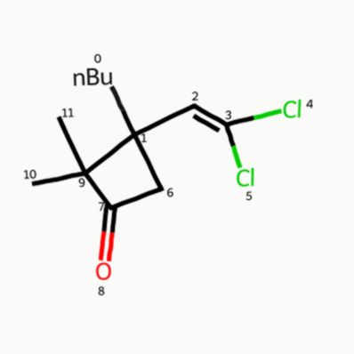 CCCCC1(C=C(Cl)Cl)CC(=O)C1(C)C